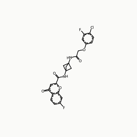 O=C(COc1ccc(Cl)c(F)c1)NC12CC(NC(=O)c3cc(=O)c4ccc(F)cc4o3)(C1)C2